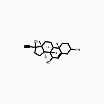 C#CC1(O)CC[C@@H]2[C@H]3C(O)C=C4CC(O)CC[C@@]4(C)[C@@H]3CC[C@]21C